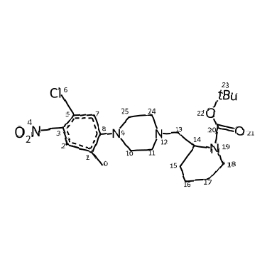 Cc1cc([N+](=O)[O-])c(Cl)cc1N1CCN(CC2CCCCN2C(=O)OC(C)(C)C)CC1